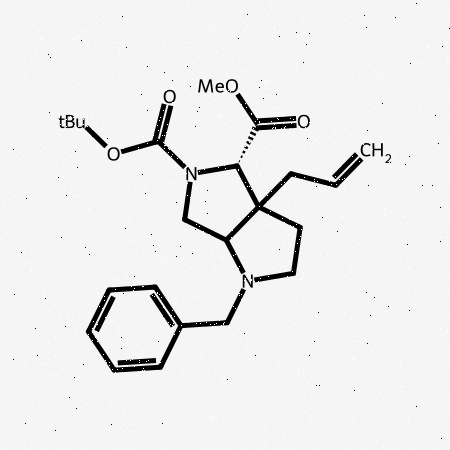 C=CCC12CCN(Cc3ccccc3)C1CN(C(=O)OC(C)(C)C)[C@@H]2C(=O)OC